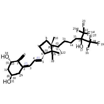 C=C1/C(=C\C=C\[C@@H]2CC[C@](C)([C@@H](C)CCCC(O)(C(F)(F)F)C(F)(F)F)C2(C)C)C[C@@H](O)C[C@@H]1O